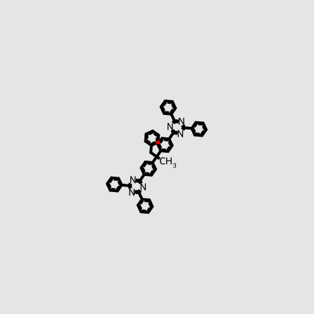 CC(Cc1ccccc1)(c1ccc(-c2nc(-c3ccccc3)nc(-c3ccccc3)n2)cc1)c1ccc(-c2nc(-c3ccccc3)nc(-c3ccccc3)n2)cc1